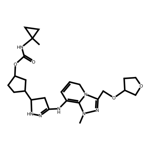 CN1N=C(COC2CCOC2)N2CC=CC(NC3=NNC(C4CCC(OC(=O)NC5(C)CC5)C4)C3)=C12